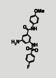 COc1ccc(NC(=O)c2cc(N)cc(NS(=O)(=O)c3ccc(F)cc3)c2)cc1